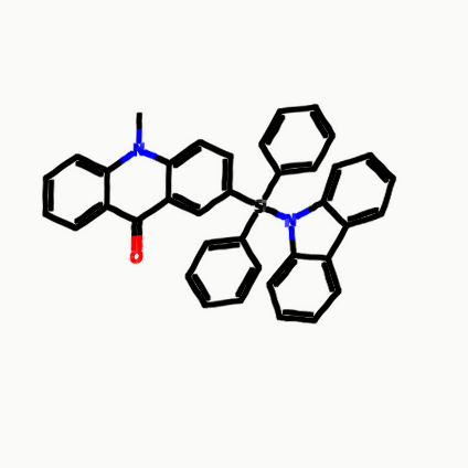 Cn1c2ccccc2c(=O)c2cc([Si](c3ccccc3)(c3ccccc3)n3c4ccccc4c4ccccc43)ccc21